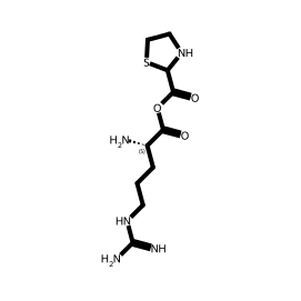 N=C(N)NCCC[C@H](N)C(=O)OC(=O)C1NCCS1